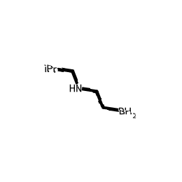 BCCNCC(C)C